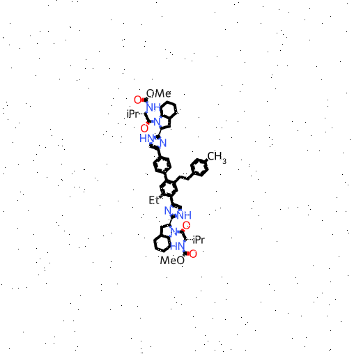 CCc1cc(-c2ccc(-c3c[nH]c([C@@H]4CC5CCCCC5N4C(=O)[C@@H](NC(=O)OC)C(C)C)n3)cc2)c(CCc2ccc(C)cc2)cc1-c1c[nH]c([C@@H]2CC3CCCCC3N2C(=O)[C@@H](NC(=O)OC)C(C)C)n1